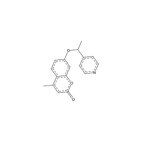 Cc1cc(=O)oc2cc(OC(C)c3ccncc3)ccc12